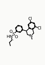 CC[CH]NS(=O)(=O)c1cccc(C2CN(C)Cc3c(Cl)cc(Cl)cc32)c1